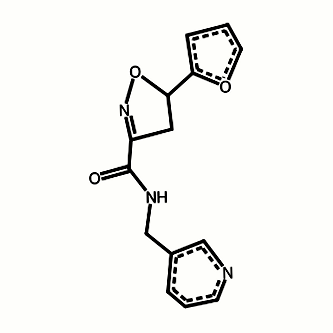 O=C(NCc1cccnc1)C1=NOC(c2ccco2)C1